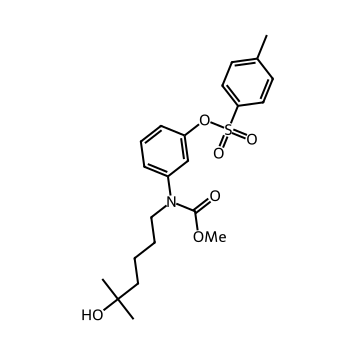 COC(=O)N(CCCCC(C)(C)O)c1cccc(OS(=O)(=O)c2ccc(C)cc2)c1